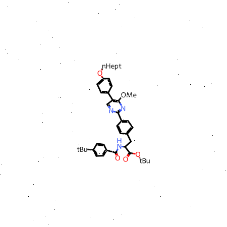 CCCCCCCOc1ccc(-c2cnc(-c3ccc(CC(NC(=O)c4ccc(C(C)(C)C)cc4)C(=O)OC(C)(C)C)cc3)nc2OC)cc1